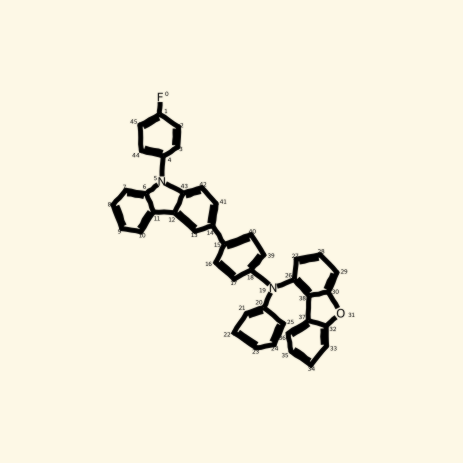 Fc1ccc(-n2c3ccccc3c3cc(-c4ccc(N(c5ccccc5)c5cccc6oc7ccccc7c56)cc4)ccc32)cc1